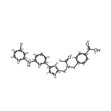 CC(=O)N(Cc1ccc(C(=O)O)cc1)Cc1ncc(-c2cccc(Nc3cc(C)ccn3)n2)s1